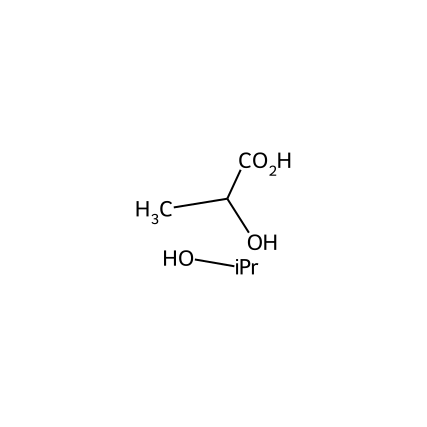 CC(C)O.CC(O)C(=O)O